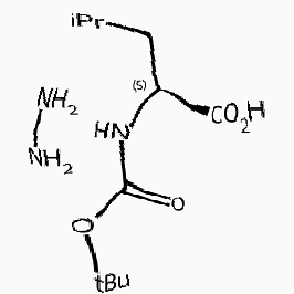 CC(C)C[C@H](NC(=O)OC(C)(C)C)C(=O)O.NN